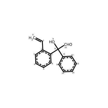 C=Cc1ccccc1C(O)(C=O)c1ccccc1